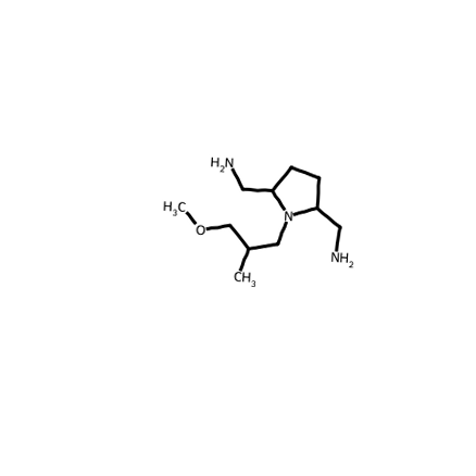 COCC(C)CN1C(CN)CCC1CN